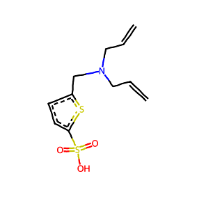 C=CCN(CC=C)Cc1ccc(S(=O)(=O)O)s1